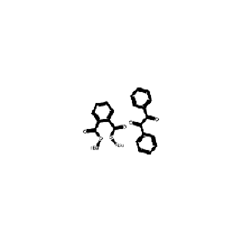 CCCCOC(=O)c1ccccc1C(=O)OCCCC.O=C(C(=O)c1ccccc1)c1ccccc1